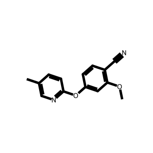 COc1cc(Oc2ccc(C)cn2)ccc1C#N